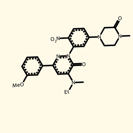 CCN(C)c1cc(-c2cccc(OC)c2)nn(-c2cc(N3CCN(C)C(=O)C3)ccc2[N+](=O)[O-])c1=O